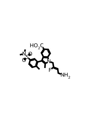 Cc1ccc(S(=O)(=O)N(C)C)cc1-c1c(C)n(C/C(F)=C/CN)c2ccc(C(=O)O)cc12